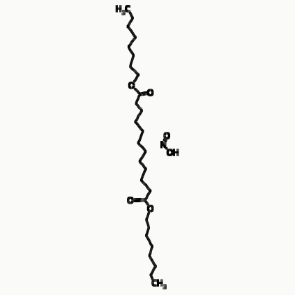 CCCCCCCCOC(=O)CCCCCCCCCCC(=O)OCCCCCCCC.O=NO